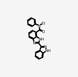 CCN(C(=O)c1cccc2nc(-c3n[nH]c4ccccc34)[nH]c12)c1ccccc1